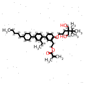 C=C(C)C(=O)OCCc1cc(-c2ccc(C3CCC(CCCCC)CC3)cc2CC)ccc1OCCCC(CO)(CO)C(C)(C)C